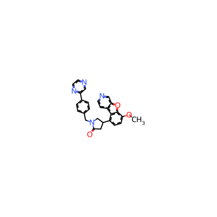 COc1ccc(C2CC(=O)N(Cc3ccc(-c4cnccn4)cc3)C2)c2c1oc1cnccc12